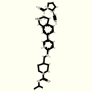 CC(C)OC(=O)N1CCC(COc2ccc(-c3ccc4c(c3)CN[C@H](C(=O)N3CCC[C@H]3C#N)C4)cn2)CC1